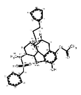 CC(=O)Oc1cc(O)c2c3c1C[C@@H]1[C@@H]4CC[C@H](N(C)S(=O)(=O)Cc5ccccc5)[C@H](O2)[C@]34CCN1CCc1ccccc1